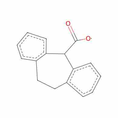 [O]C(=O)C1c2ccccc2CCc2ccccc21